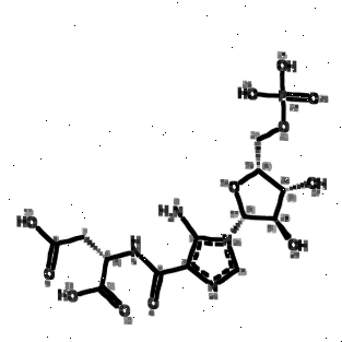 Nc1c(C(=O)N[C@@H](CC(=O)O)C(=O)O)ncn1[C@@H]1O[C@H](COP(=O)(O)O)[C@H](O)[C@H]1O